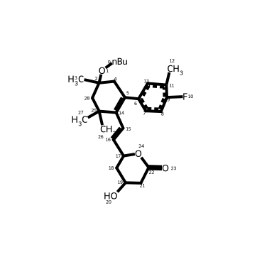 CCCCOC1(C)CC(c2ccc(F)c(C)c2)=C(C=CC2CC(O)CC(=O)O2)C(C)(C)C1